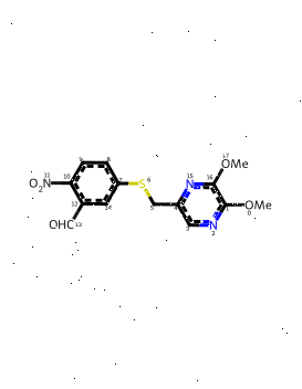 COc1ncc(CSc2ccc([N+](=O)[O-])c(C=O)c2)nc1OC